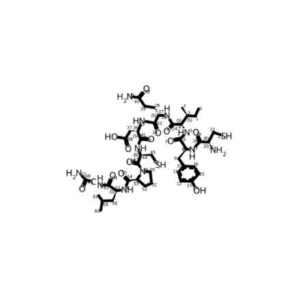 CC[C@H](C)[C@H](NC(=O)[C@H](Cc1ccc(O)cc1)NC(=O)[C@@H](N)CS)C(=O)N[C@@H](CCC(N)=O)C(=O)N[C@@H](CC(=O)O)C(=O)N[C@@H](CS)C(=O)N1CCC[C@H]1C(=O)N[C@@H](CC(C)C)C(=O)NCC(N)=O